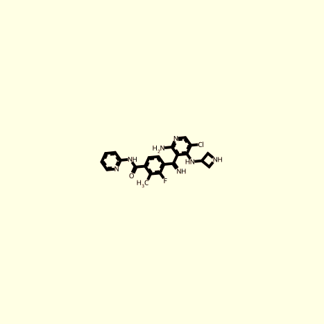 Cc1c(C(=O)Nc2ccccn2)ccc(C(=N)c2c(N)ncc(Cl)c2NC2CNC2)c1F